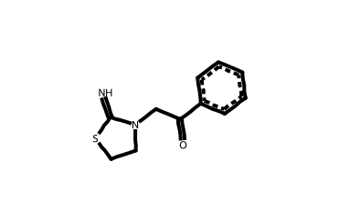 N=C1SCCN1CC(=O)c1ccccc1